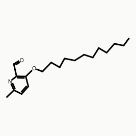 CCCCCCCCCCCCOc1ccc(C)nc1C=O